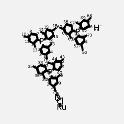 Cc1ccc(P(c2ccc(C)cc2C)c2ccc(C)cc2C)c(C)c1.Cc1ccc(P(c2ccc(C)cc2C)c2ccc(C)cc2C)c(C)c1.Cc1ccc(P(c2ccc(C)cc2C)c2ccc(C)cc2C)c(C)c1.[C]=O.[Cl][Ru].[H-]